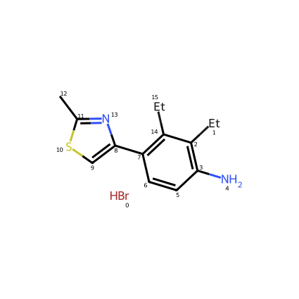 Br.CCc1c(N)ccc(-c2csc(C)n2)c1CC